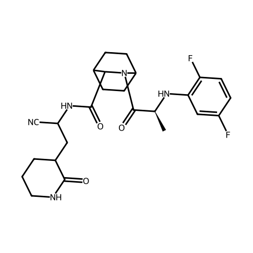 C[C@H](Nc1cc(F)ccc1F)C(=O)N1C2CCC(CC2)C1C(=O)NC(C#N)CC1CCCNC1=O